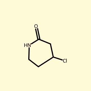 O=C1CC(Cl)CCN1